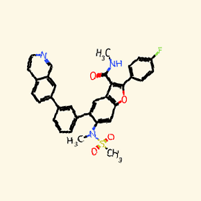 CNC(=O)c1c(-c2ccc(F)cc2)oc2cc(N(C)S(C)(=O)=O)c(-c3cccc(-c4ccc5ccncc5c4)c3)cc12